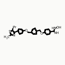 Cc1nc(-c2ccc(OCc3ccc(COc4ccc(C(=N)NO)cc4)cc3)cc2)c(C(C)C)s1